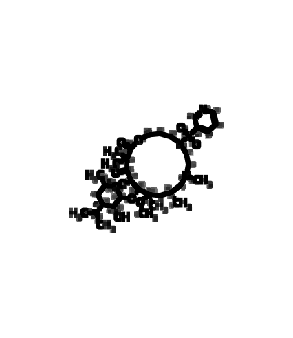 CO[C@]1(C)C[C@@H](C)CN(C)CCN(S(=O)(=O)c2cccnc2)CCCOC(=O)C(C)(C)C(=O)[C@H](C)[C@H]1O[C@@H]1O[C@H](C)C[C@H](N(C)C)[C@H]1O